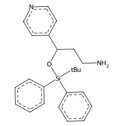 CC(C)(C)[Si](OC(CCN)c1ccncc1)(c1ccccc1)c1ccccc1